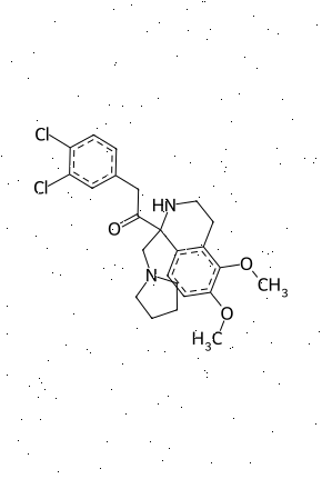 COc1ccc2c(c1OC)CCNC2(CN1CCCC1)C(=O)Cc1ccc(Cl)c(Cl)c1